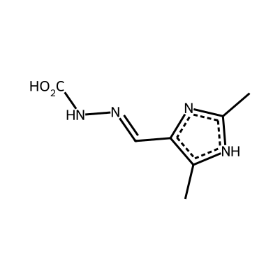 Cc1nc(C=NNC(=O)O)c(C)[nH]1